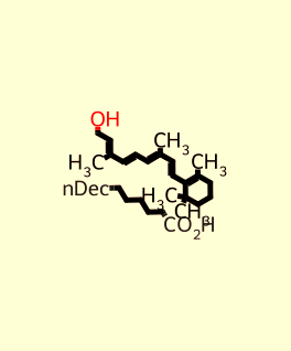 CC(C=CC1=C(C)CCCC1(C)C)=CC=CC(C)=CCO.CCCCCCCCCCCCCCCC(=O)O